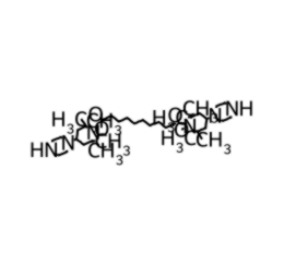 CC1(C)CC(N2CCNCC2)CC(C)(C)N1OC(=O)CCCCCCCCC(=O)ON1C(C)(C)CC(N2CCNCC2)CC1(C)C